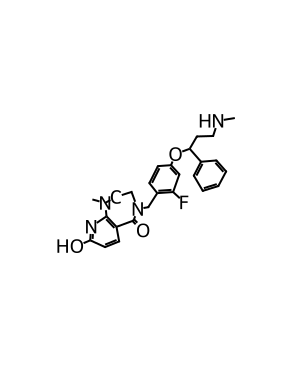 CNCCC(Oc1ccc(CN2CCN(C)c3nc(O)ccc3C2=O)c(F)c1)c1ccccc1